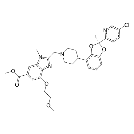 COCCOc1cc(C(=O)OC)cc2c1nc(CN1CCC(c3cccc4c3O[C@@](C)(c3ccc(Cl)cn3)O4)CC1)n2C